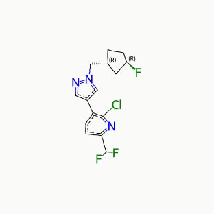 FC(F)c1ccc(-c2cnn(C[C@@H]3CC[C@@H](F)C3)c2)c(Cl)n1